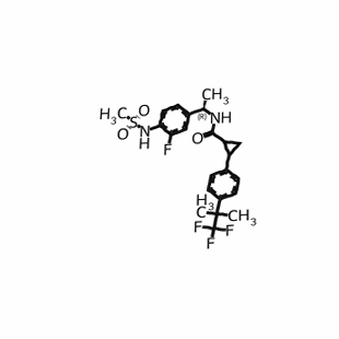 C[C@@H](NC(=O)C1CC1c1ccc(C(C)(C)C(F)(F)F)cc1)c1ccc(NS(C)(=O)=O)c(F)c1